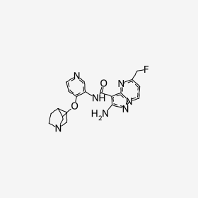 Nc1nn2ccc(CF)nc2c1C(=O)Nc1cnccc1OC1CN2CCC1CC2